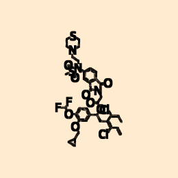 C=C/C(Cl)=C(C[C@H](OC(=O)CN1C(=O)c2ccc(N(CCN3CCSCC3)S(C)(=O)=O)cc2C1=O)c1ccc(OC(F)F)c(OCC2CC2)c1)\C(Cl)=C/C